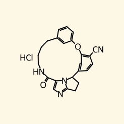 Cl.N#Cc1ccc2cc1Oc1cccc(c1)CCCCNC(=O)c1cnc3n1C2CC3